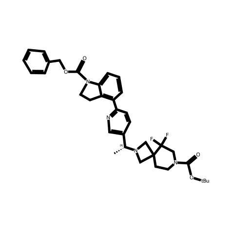 C[C@H](c1ccc(-c2cccc3c2CCN3C(=O)OCc2ccccc2)nc1)N1CC2(CCN(C(=O)OC(C)(C)C)CC2(F)F)C1